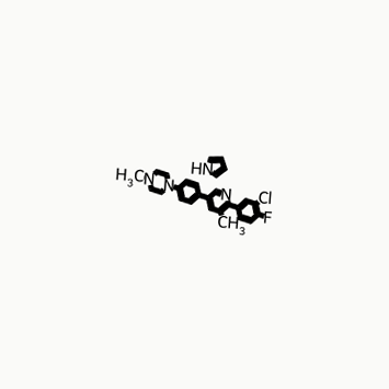 Cc1cc(-c2ccc(N3CCN(C)CC3)cc2)cnc1-c1ccc(F)c(Cl)c1.c1cc[nH]c1